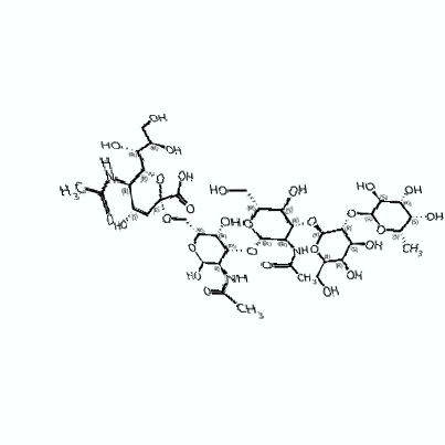 CC(=O)N[C@H]1[C@H](O[C@H]2[C@@H](O)[C@@H](CO[C@]3(C(=O)O)C[C@H](O)[C@@H](NC(C)=O)[C@H]([C@H](O)[C@H](O)CO)O3)OC(O)[C@@H]2NC(C)=O)O[C@H](CO)[C@@H](O)[C@@H]1O[C@@H]1O[C@H](CO)[C@H](O)[C@H](O)[C@H]1O[C@@H]1O[C@@H](C)[C@@H](O)[C@@H](O)[C@@H]1O